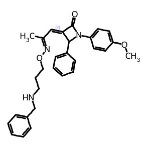 COc1ccc(N2C(=O)/C(=C/C(C)=NOCCCNCc3ccccc3)C2c2ccccc2)cc1